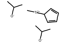 CC(C)[O-].CC(C)[O-].[CH3][Ti+2][CH]1C=CC=C1